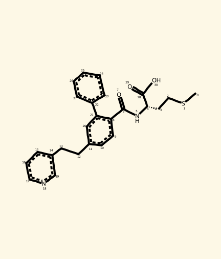 CSCC[C@H](NC(=O)c1ccc(CCc2cccnc2)cc1-c1ccccc1)C(=O)O